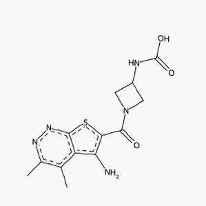 Cc1nnc2sc(C(=O)N3CC(NC(=O)O)C3)c(N)c2c1C